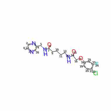 Cc1cnc(CNC(=O)CCCCNC(=O)COc2ccc(Cl)c(F)c2)cn1